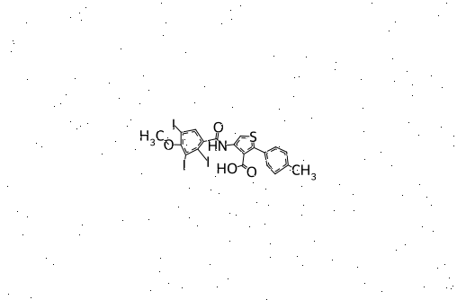 COc1c(I)cc(C(=O)Nc2csc(-c3ccc(C)cc3)c2C(=O)O)c(I)c1I